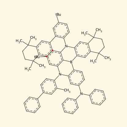 Cc1cc(-c2ccccc2)ccc1N1c2cc(N(c3ccccc3)c3ccccc3)ccc2B2c3cc4c(cc3N(c3ccc(C(C)(C)C)cc3-c3ccc5c(c3)C(C)(C)CCC5(C)C)c3cc(C(C)(C)C)cc1c32)C(C)(C)CCC4(C)C